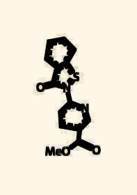 COC(=O)c1ccc(-n2sc3ccccc3c2=O)nc1